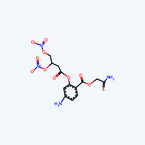 NC(=S)COC(=O)c1ccc(N)cc1OC(=O)CC(CO[N+](=O)[O-])O[N+](=O)[O-]